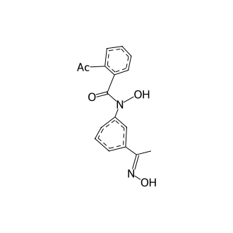 CC(=O)c1ccccc1C(=O)N(O)c1cccc(/C(C)=N/O)c1